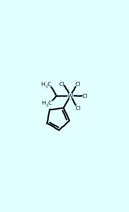 C[CH](C)[W]([Cl])([Cl])([Cl])([Cl])[C]1=CC=CC1